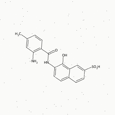 Cc1ccc(C(=O)Nc2ccc3ccc(S(=O)(=O)O)cc3c2O)c(N)c1